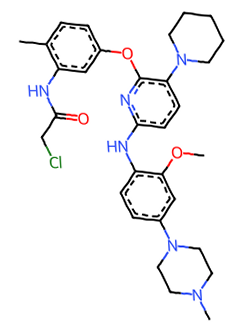 COc1cc(N2CCN(C)CC2)ccc1Nc1ccc(N2CCCCC2)c(Oc2ccc(C)c(NC(=O)CCl)c2)n1